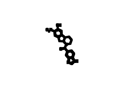 O=C(c1ccc2[nH]cnc2c1)N1CCCC2c3cc(O)c([N+](=O)[O-])cc3CC21